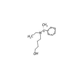 CCN(CCCCO)[C@H](C)c1ccccc1